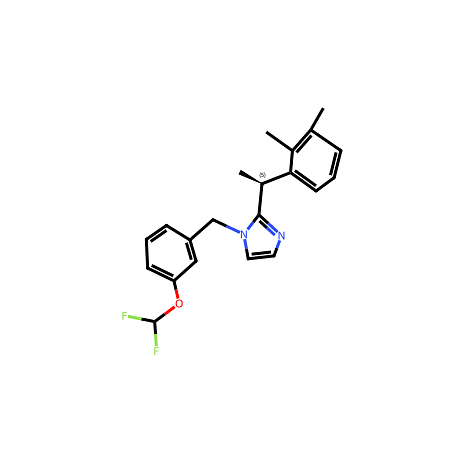 Cc1cccc([C@H](C)c2nccn2Cc2cccc(OC(F)F)c2)c1C